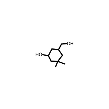 CC1(C)CC(O)CC(CO)C1